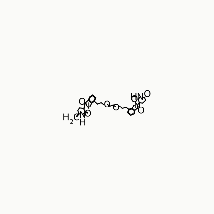 C=C1CCC(N2Cc3c(CCCOCCOCCCc4cccc5c4CN(C4CCC(=O)NC4=O)C5=O)cccc3C2=O)C(=O)N1